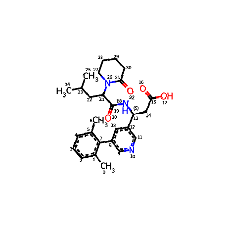 Cc1cccc(C)c1-c1cncc([C@H](CC(=O)O)NC(=O)C(CC(C)C)N2CCCCC2=O)c1